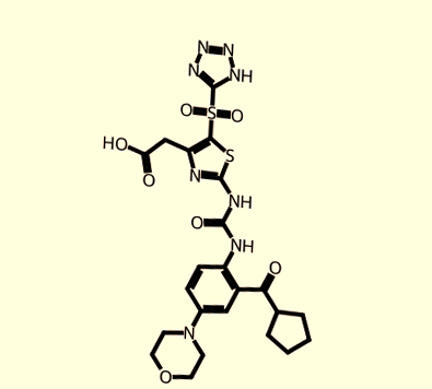 O=C(O)Cc1nc(NC(=O)Nc2ccc(N3CCOCC3)cc2C(=O)C2CCCC2)sc1S(=O)(=O)c1nnn[nH]1